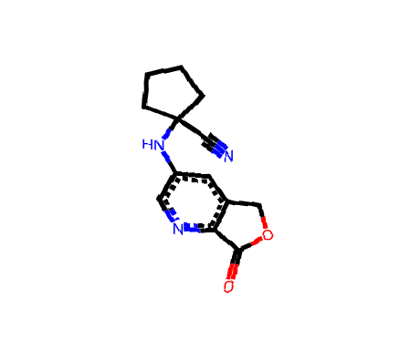 N#CC1(Nc2cnc3c(c2)COC3=O)CCCC1